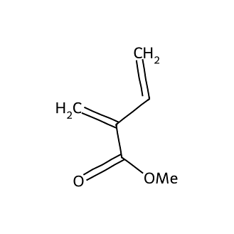 C=CC(=C)C(=O)OC